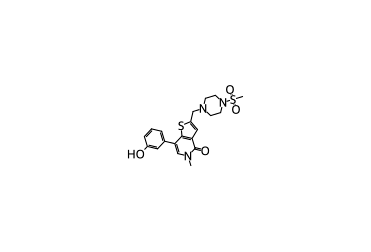 Cn1cc(-c2cccc(O)c2)c2sc(CN3CCN(S(C)(=O)=O)CC3)cc2c1=O